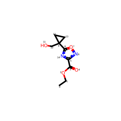 CCOC(=O)c1noc(C2(CO)CC2)n1